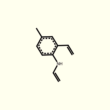 C=CNc1ccc(C)cc1C=C